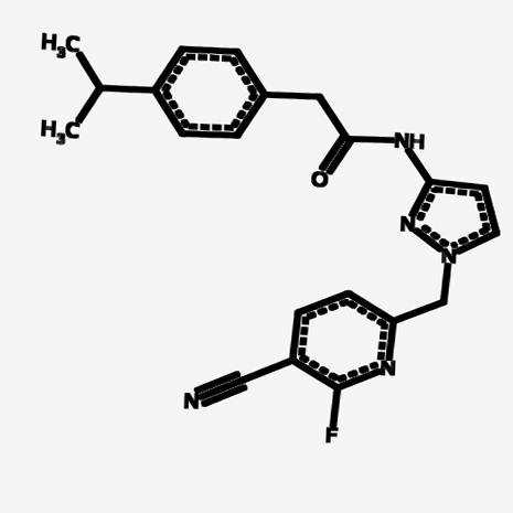 CC(C)c1ccc(CC(=O)Nc2ccn(Cc3ccc(C#N)c(F)n3)n2)cc1